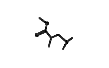 COC(=O)C(C)CN(C)C